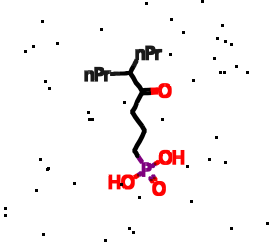 CCCC(CCC)C(=O)CCCP(=O)(O)O